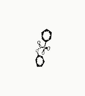 O=S(Oc1ccccc1)S(=O)(=O)c1ccccc1